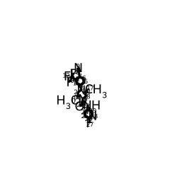 C[C@@H]1CN(c2ccc(C#N)c(C(F)(F)F)c2)[C@@H](C)CN1C(=O)Nc1ccc(F)nc1